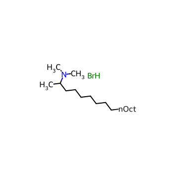 Br.CCCCCCCCCCCCCCCC(C)N(C)C